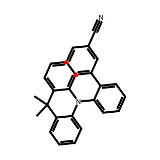 CC1(C)c2ccccc2N(c2ccccc2-c2cc(C#N)ccn2)c2ccccc21